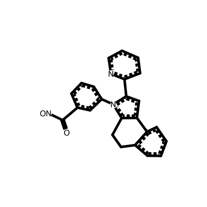 O=NC(=O)c1cccc(-n2c(-c3ccccn3)cc3c2CCc2ccccc2-3)c1